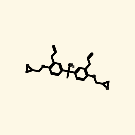 C=CCc1cc(C(C)(c2ccc(OCC3CO3)c(CC=C)c2)C(F)(F)F)ccc1OCC1CO1